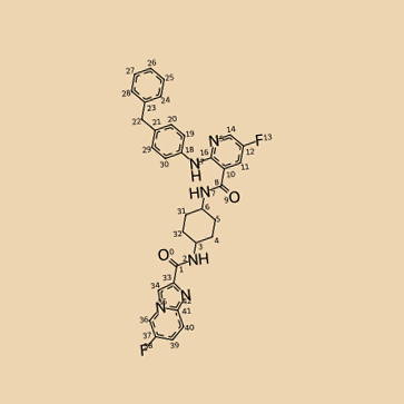 O=C(NC1CCC(NC(=O)c2cc(F)cnc2Nc2ccc(Cc3ccccc3)cc2)CC1)c1cn2cc(F)ccc2n1